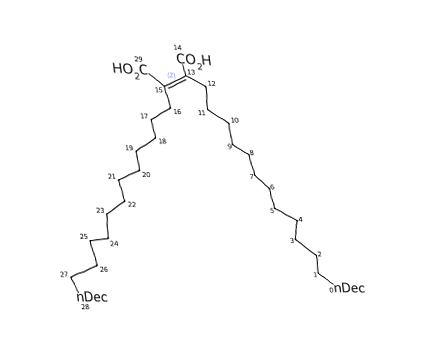 CCCCCCCCCCCCCCCCCCCCCC/C(C(=O)O)=C(\CCCCCCCCCCCCCCCCCCCCCC)C(=O)O